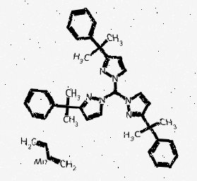 C=CC=C.CC(C)(c1ccccc1)c1ccn(C(n2ccc(C(C)(C)c3ccccc3)n2)n2ccc(C(C)(C)c3ccccc3)n2)n1.[Mn]